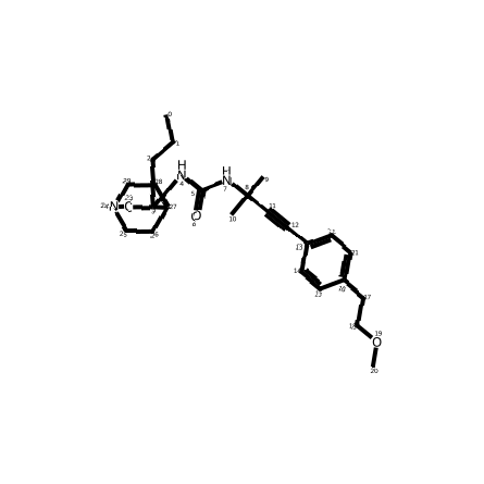 CCCC1(NC(=O)NC(C)(C)C#Cc2ccc(CCOC)cc2)CN2CCC1CC2